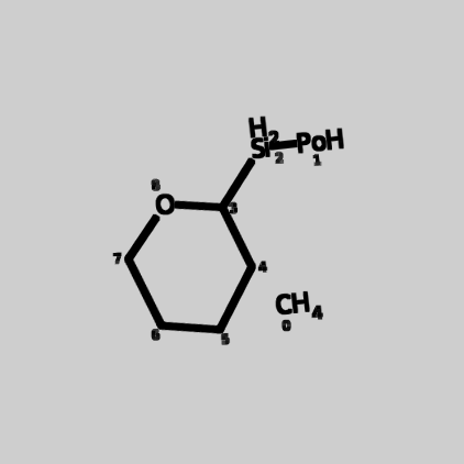 C.[PoH][SiH2]C1CCCCO1